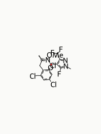 CON(C(=O)c1c(C(F)F)nn(C)c1F)[C@H](C)Cc1c(Cl)cc(Cl)cc1Cl